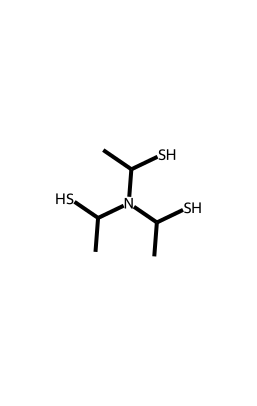 CC(S)N(C(C)S)C(C)S